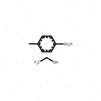 Cc1ccc(S(=O)(=O)O)cc1.OCC(F)(F)F